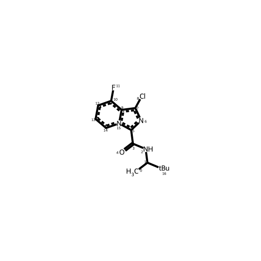 CC(NC(=O)c1nc(Cl)c2c(F)cccn12)C(C)(C)C